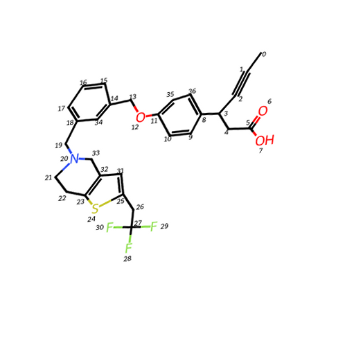 CC#CC(CC(=O)O)c1ccc(OCc2cccc(CN3CCc4sc(CC(F)(F)F)cc4C3)c2)cc1